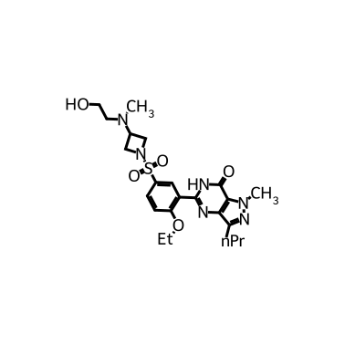 CCCc1nn(C)c2c(=O)[nH]c(-c3cc(S(=O)(=O)N4CC(N(C)CCO)C4)ccc3OCC)nc12